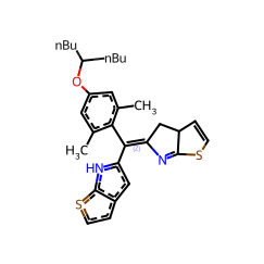 CCCCC(CCCC)Oc1cc(C)c(/C(=C2\CC3C=CSC3=N2)c2cc3ccsc3[nH]2)c(C)c1